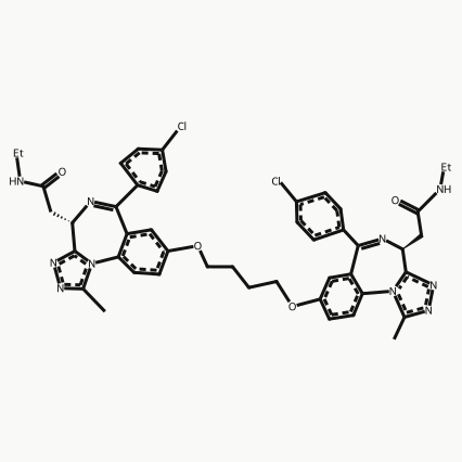 CCNC(=O)C[C@@H]1N=C(c2ccc(Cl)cc2)c2cc(OCCCCOc3ccc4c(c3)C(c3ccc(Cl)cc3)=N[C@@H](CC(=O)NCC)c3nnc(C)n3-4)ccc2-n2c(C)nnc21